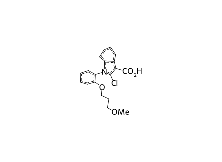 COCCCOc1ccccc1-n1c(Cl)c(C(=O)O)c2ccccc21